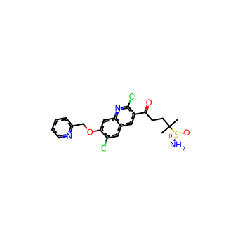 CC(C)(CCC(=O)c1cc2cc(Cl)c(OCc3ccccn3)cc2nc1Cl)[S@+](N)[O-]